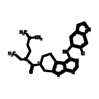 CCN(CCN(C)C)C(=O)[C@H]1CCc2c(sc3ncnc(Nc4cc5ccnn5cc4Cl)c23)C1